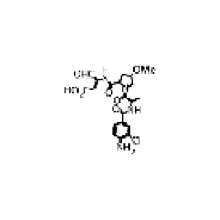 COC1CC(C(=O)NC(C=O)CC(=O)O)N(C(=O)C(C)NC(=O)c2ccc(N)c(Cl)c2)C1